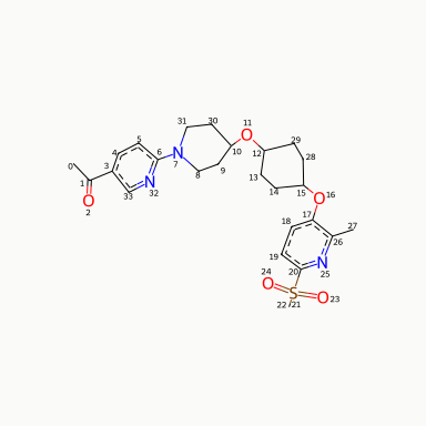 CC(=O)c1ccc(N2CCC(OC3CCC(Oc4ccc(S(C)(=O)=O)nc4C)CC3)CC2)nc1